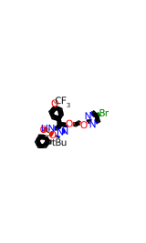 Cn1nc(OCCOc2ncc(Br)cn2)c(-c2ccc(OC(F)(F)F)cc2)c1NS(=O)(=O)c1ccccc1C(C)(C)C